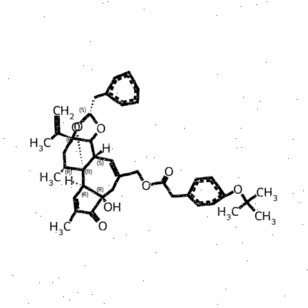 C=C(C)[C@]12C[C@@H](C)[C@@]34O[C@](Cc5ccccc5)(OC1[C@@H]3C=C(COC(=O)Cc1ccc(OC(C)(C)C)cc1)C[C@]1(O)C(=O)C(C)=C[C@@H]41)O2